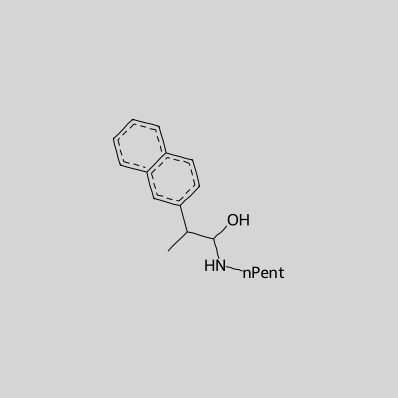 CCCCCNC(O)C(C)c1ccc2ccccc2c1